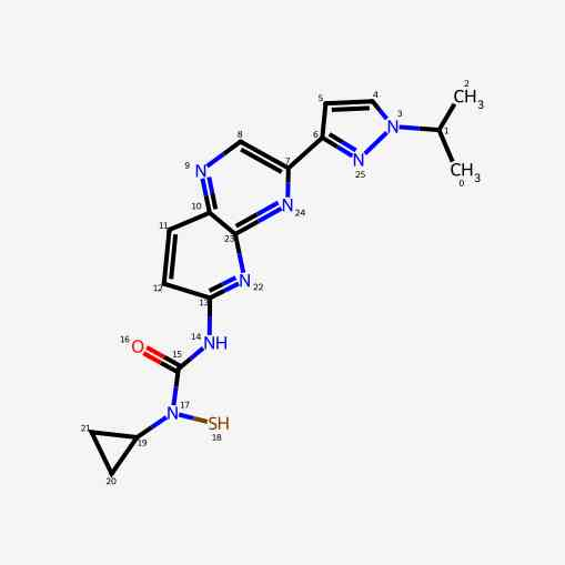 CC(C)n1ccc(-c2cnc3ccc(NC(=O)N(S)C4CC4)nc3n2)n1